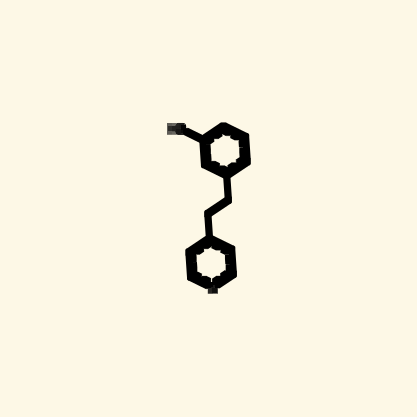 Oc1cccc(CCc2ccncc2)c1